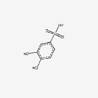 O=S(=O)(O)c1ccc(O)c(O)c1